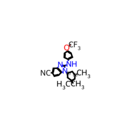 C[C@@H]1C[C@@H](n2c(Nc3ccc(OC(F)(F)F)cc3)nc3cc(C#N)ccc32)CC(C)(C)C1